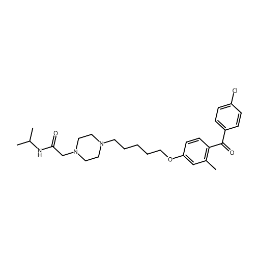 Cc1cc(OCCCCCN2CCN(CC(=O)NC(C)C)CC2)ccc1C(=O)c1ccc(Cl)cc1